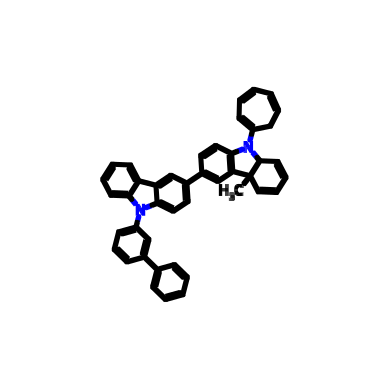 CC12C=CC=CC1N(C1=CC=CC=CC1)c1ccc(-c3ccc4c(c3)c3ccccc3n4-c3cccc(-c4ccccc4)c3)cc12